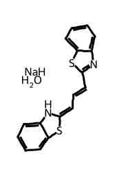 C(=Cc1nc2ccccc2s1)C=C1Nc2ccccc2S1.O.[NaH]